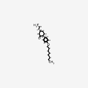 CCCCCCCCOc1ccc([C@@H]2CC[C@@H](CCC)CC2=O)cc1